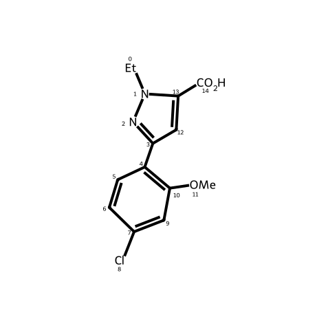 CCn1nc(-c2ccc(Cl)cc2OC)cc1C(=O)O